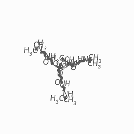 CC(C)NCCCNC(=O)CCOCC(COCCC(=O)NCCCNC(C)C)(COCCC(=O)NCCCNC(C)C)COC(C)C